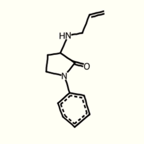 C=CCNC1CCN(c2ccccc2)C1=O